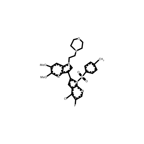 COc1cc2c(nc1OC)c(-c1cc3c(Cl)c(F)cnc3n1S(=O)(=O)c1ccc(C)cc1)cn2CCN1CCOCC1